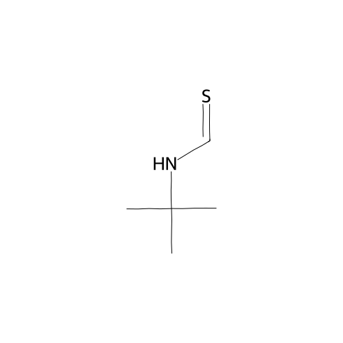 CC(C)(C)NC=S